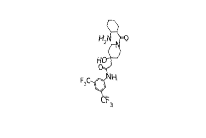 N[C@H]1CCCC[C@H]1C(=O)N1CCC(O)(CC(=O)Nc2cc(C(F)(F)F)cc(C(F)(F)F)c2)CC1